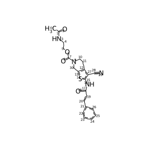 CC(=O)NCCOC(=O)N1CCc2c(sc(NC(=O)C=Cc3ccccc3)c2C#N)C1